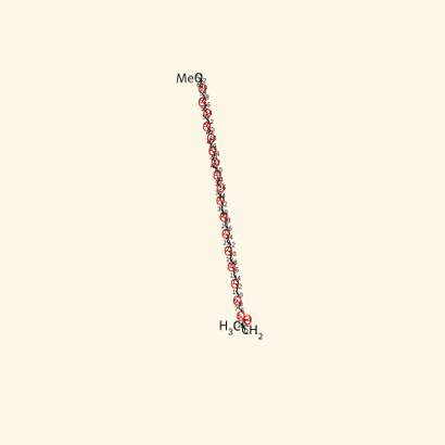 C=C(C)C(=O)OCCCOCCCOCCCOCCCOCCCOCCCOCCCOCCOCCOCCOCCOCCOCCOCCOCCOCCOCCOC